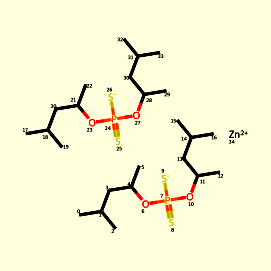 CC(C)CC(C)OP(=S)([S-])OC(C)CC(C)C.CC(C)CC(C)OP(=S)([S-])OC(C)CC(C)C.[Zn+2]